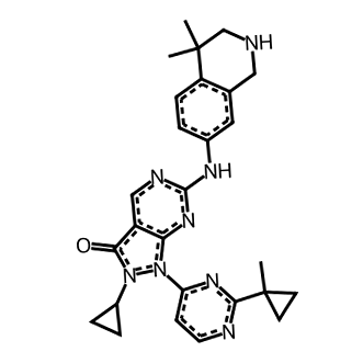 CC1(C)CNCc2cc(Nc3ncc4c(=O)n(C5CC5)n(-c5ccnc(C6(C)CC6)n5)c4n3)ccc21